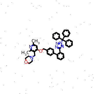 Cc1cc(OCc2ccc(-c3ccccc3-c3nnn(C(c4ccccc4)(c4ccccc4)c4ccccc4)n3)cc2)c(CN2CCOCC2)c(C)n1